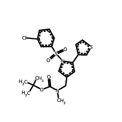 CN(Cc1cc(-c2ccsc2)n(S(=O)(=O)c2cccc(Cl)c2)c1)C(=O)OC(C)(C)C